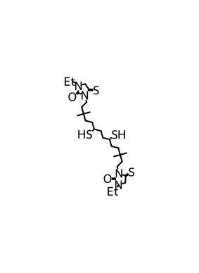 CCN1CC(=S)N(CCC(C)(C)CCC(S)CCC(S)CCC(C)(C)CCN2C(=O)N(CC)CC2=S)C1=O